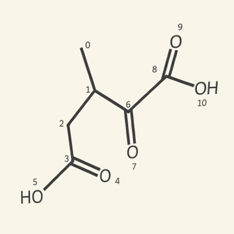 CC(CC(=O)O)C(=O)C(=O)O